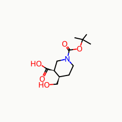 CC(C)(C)OC(=O)N1CC[C@@H](CO)[C@@H](C(=O)O)C1